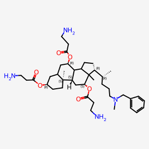 C[C@H](CCCN(C)Cc1ccccc1)[C@H]1CCC2C3[C@H](OC(=O)CCN)CC4C[C@H](OC(=O)CCN)CC[C@]4(C)[C@H]3C[C@H](OC(=O)CCN)C21C